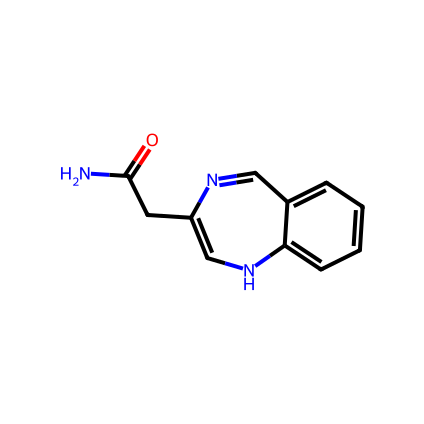 NC(=O)CC1=CNc2ccccc2C=N1